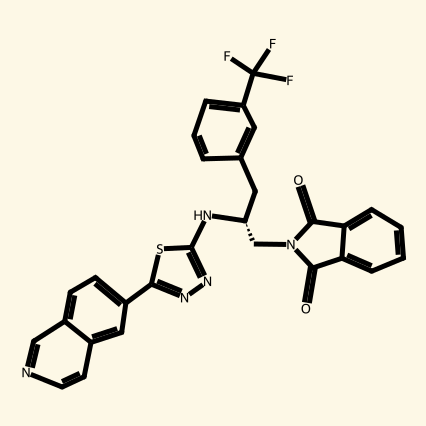 O=C1c2ccccc2C(=O)N1C[C@@H](Cc1cccc(C(F)(F)F)c1)Nc1nnc(-c2ccc3cnccc3c2)s1